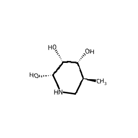 C[C@H]1CN[C@H](O)[C@H](O)[C@@H]1O